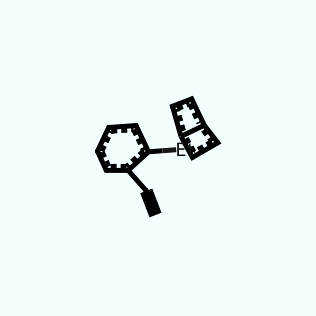 C#Cc1ccccc1CC.c1cc2ccc1-2